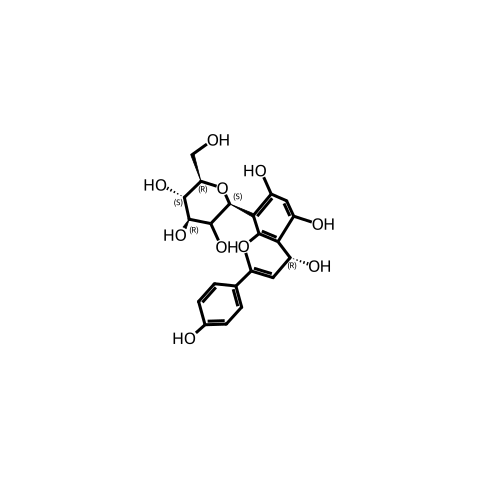 OC[C@H]1O[C@@H](c2c(O)cc(O)c3c2OC(c2ccc(O)cc2)=C[C@H]3O)C(O)[C@@H](O)[C@@H]1O